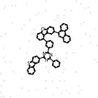 c1ccc(-c2nc(-c3cccc(-c4cccc5oc6ccc(-c7cc8ccccc8c8ccccc78)cc6c45)c3)nc(-c3ccc4sc5ccccc5c4c3)n2)cc1